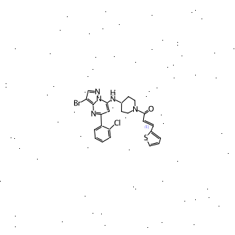 O=C(/C=C/c1cccs1)N1CCC(Nc2cc(-c3ccccc3Cl)nc3c(Br)cnn23)CC1